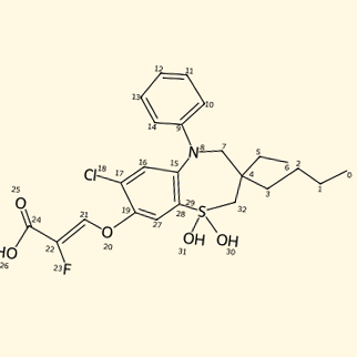 CCCCC1(CC)CN(c2ccccc2)c2cc(Cl)c(OC=C(F)C(=O)O)cc2S(O)(O)C1